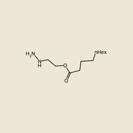 CCCCCCCCCC(=O)OCCNN